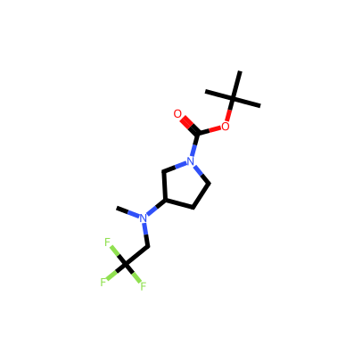 CN(CC(F)(F)F)C1CCN(C(=O)OC(C)(C)C)C1